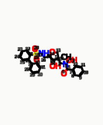 C[C@@]1(CN(O)C(=O)c2ccccc2)CO[C@H](CNS(=O)(=O)c2ccccc2-c2ccccc2)[C@H]1O